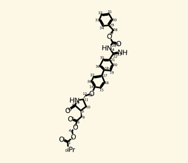 CC(C)C(=O)OCOC(=O)C[C@@H]1C[C@@H](COc2ccc(-c3ccc(C(=N)NC(=O)OCc4ccccc4)cc3)cc2)NC1=O